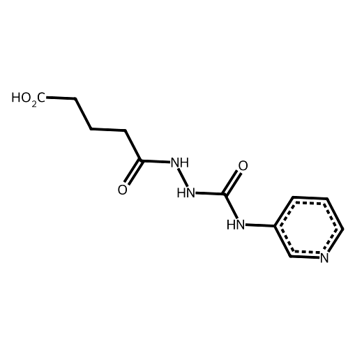 O=C(O)CCCC(=O)NNC(=O)Nc1cccnc1